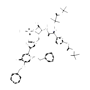 CC(C)(C)OC(=O)Nc1nc(/C(=N/OC(C)(C)C(=O)OC(C)(C)C)C(=O)N[C@@H]2C(=O)N(S(=O)(=O)O)[C@@H]2Cn2cc(-c3cc(=O)c(OCc4ccccc4)cn3OCc3ccccc3)nn2)cs1